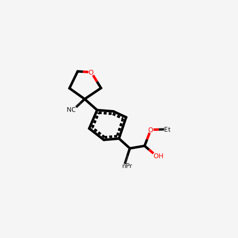 CCCC(c1ccc(C2(C#N)CCOC2)cc1)C(O)OCC